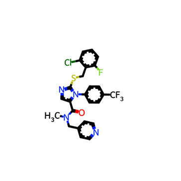 CN(Cc1ccncc1)C(=O)c1cnc(SCc2c(F)cccc2Cl)n1-c1ccc(C(F)(F)F)cc1